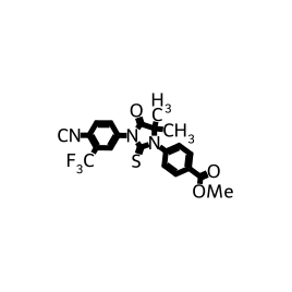 [C-]#[N+]c1ccc(N2C(=O)C(C)(C)N(c3ccc(C(=O)OC)cc3)C2=S)cc1C(F)(F)F